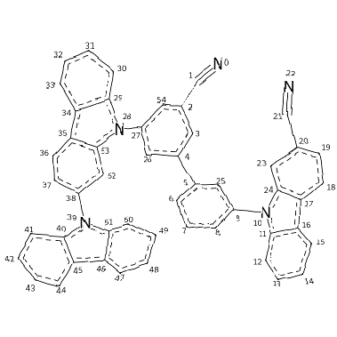 N#Cc1cc(-c2cccc(-n3c4ccccc4c4ccc(C#N)cc43)c2)cc(-n2c3ccccc3c3ccc(-n4c5ccccc5c5ccccc54)cc32)c1